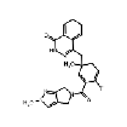 Cn1cc2c(n1)CN(C(=O)C1=CC(C)(Cc3n[nH]c(=O)c4c3=CCCC=4)CC=C1F)C2